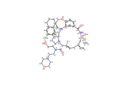 C[C@@H]1[C@@H](C)C/C=C(\F)[C@H](C(=O)N(CCO)CCN2CCOCC2)N2CCC[C@H]2CN2C[C@@]3(CCCc4cc(Cl)ccc43)COc3ccc(cc32)C(=O)NS1(=O)=O